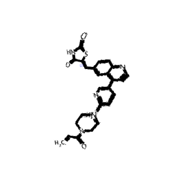 C=CC(=O)N1CCN(c2ccc(-c3ccnc4ccc(/C=C5\SC(=O)NC5=O)cc34)cn2)CC1